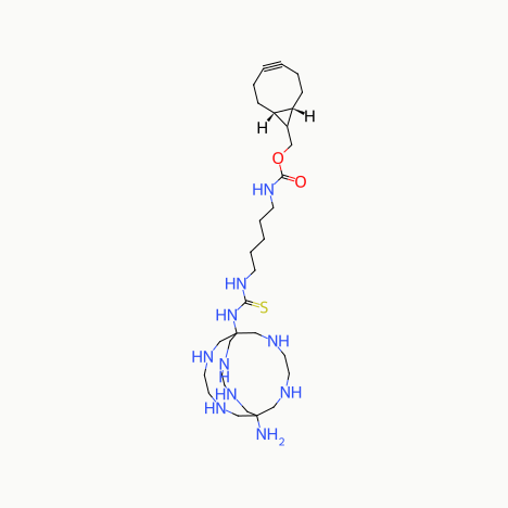 NC12CNCCNCC(NC(=S)NCCCCCNC(=O)OCC3[C@H]4CCC#CCC[C@@H]34)(CNCCNC1)CNCCNC2